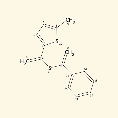 C=C(SC(=C)c1ccc(C)s1)c1ccccc1